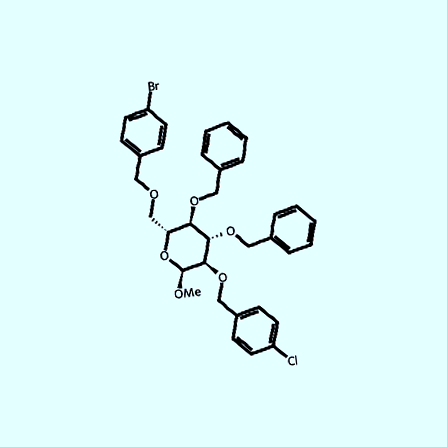 CO[C@H]1O[C@H](COCc2ccc(Br)cc2)[C@@H](OCc2ccccc2)[C@H](OCc2ccccc2)[C@H]1OCc1ccc(Cl)cc1